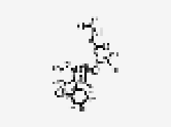 CC(=O)NCC(=O)OC(OC(=O)N(C)[C@]1(c2ccccc2Cl)CCCCC1=O)C(C)C